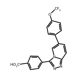 O=C(O)c1ccc(-c2nnc3ccc(-c4ccc(OC(F)(F)F)cc4)cn23)cc1